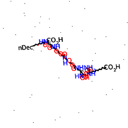 CCCCCCCCCCCCCCCCCC(=O)NC(CCC(=O)NCCOCCOCC(=O)NCCOCCOCC(=O)NCCCCC(NO)C(=O)ONC(CCCCCCCCCC(=O)O)C(=O)ON)C(=O)O